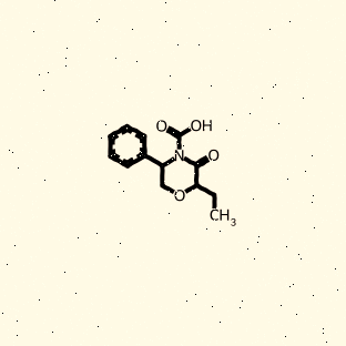 CCC1OCC(c2ccccc2)N(C(=O)O)C1=O